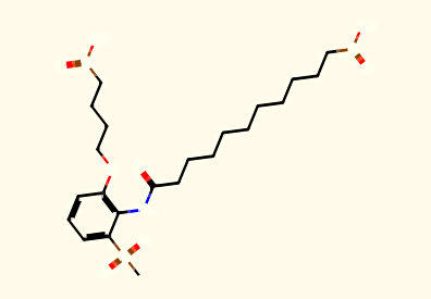 CS(=O)(=O)c1cccc(OCCCCS(=O)O)c1NC(=O)CCCCCCCCCCS(=O)O